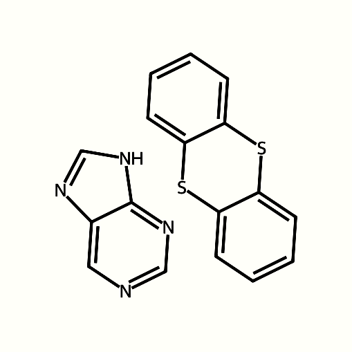 c1ccc2c(c1)Sc1ccccc1S2.c1ncc2nc[nH]c2n1